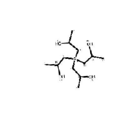 CC(O)C[Si](CC(C)O)(CC(C)O)CC(C)O